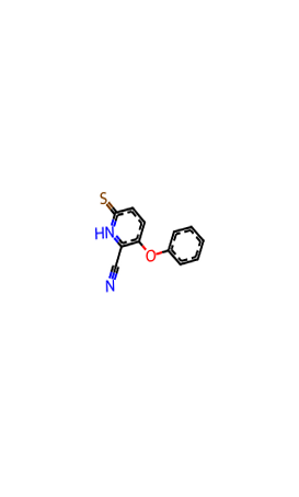 N#Cc1[nH]c(=S)ccc1Oc1ccccc1